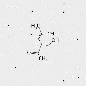 CC(=O)[C@@H](CO)CC(C)C